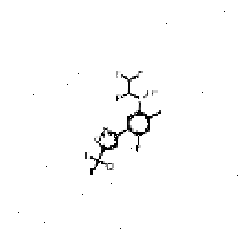 Cc1cc(F)c(-c2cc(C(F)(F)Cl)on2)cc1[S+]([O-])C(F)C(F)F